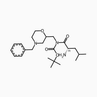 CC(C)C[C@H](N)C(=O)N(CC1CN(Cc2ccccc2)CCO1)C(=O)OC(C)(C)C